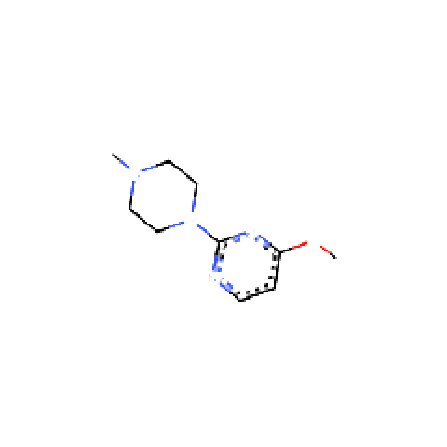 CCOc1ccnc(N2CCN(C(C)C)CC2)n1